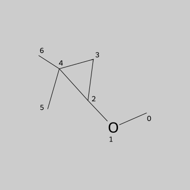 COC1CC1(C)C